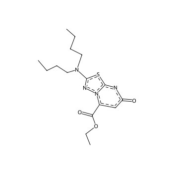 CCCCN(CCCC)c1nn2c(C(=O)OCC)cc(=O)nc2s1